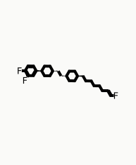 F/C=C/CCCCCC[C@H]1CC[C@H](CC[C@H]2CC[C@H](c3ccc(F)c(F)c3)CC2)CC1